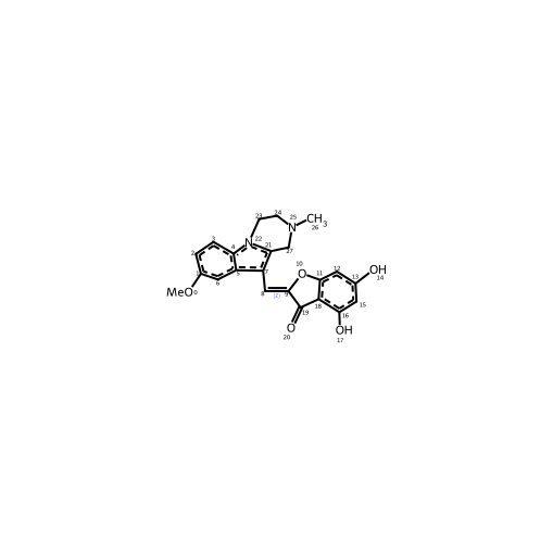 COc1ccc2c(c1)c(/C=C1\Oc3cc(O)cc(O)c3C1=O)c1n2CCN(C)C1